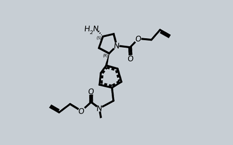 C=CCOC(=O)N(C)Cc1ccc([C@H]2C[C@H](N)CN2C(=O)OCC=C)cc1